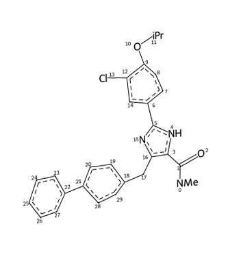 CNC(=O)c1[nH]c(-c2ccc(OC(C)C)c(Cl)c2)nc1Cc1ccc(-c2ccccc2)cc1